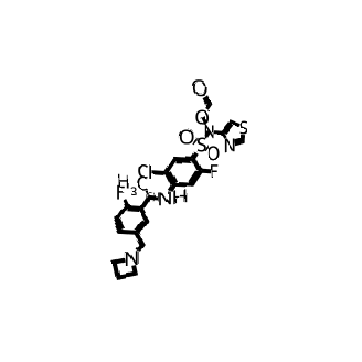 C[C@H](Nc1cc(F)c(S(=O)(=O)N(OC=O)c2cscn2)cc1Cl)c1cc(CN2CCC2)ccc1F